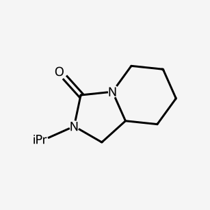 CC(C)N1CC2CCCCN2C1=O